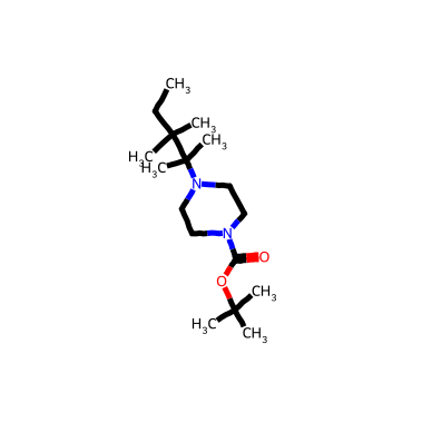 CCC(C)(C)C(C)(C)N1CCN(C(=O)OC(C)(C)C)CC1